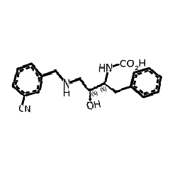 N#Cc1cccc(CNC[C@H](O)[C@H](Cc2ccccc2)NC(=O)O)c1